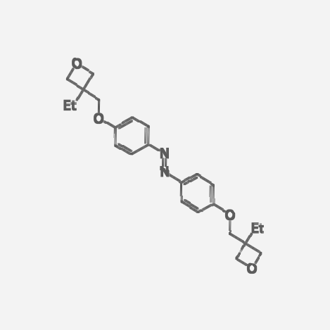 CCC1(COc2ccc(/N=N/c3ccc(OCC4(CC)COC4)cc3)cc2)COC1